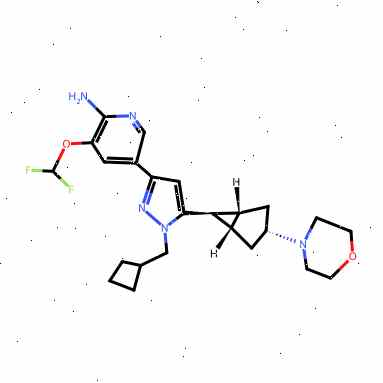 Nc1ncc(-c2cc([C@H]3[C@@H]4C[C@H](N5CCOCC5)C[C@@H]43)n(CC3CCC3)n2)cc1OC(F)F